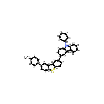 N#Cc1ccc(-c2ccc3sc4ccc(-c5ccc6c(c5)c5ccccc5n6-c5ccccc5)cc4c3c2)cc1